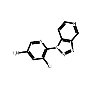 Nc1cnc(-n2nnc3cnccc32)c(Cl)c1